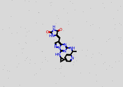 CC(Nc1nc(NC2CC2)n2ncc(/C=C3\NC(=O)NC3=O)c2n1)c1ccccn1